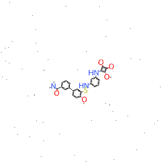 COc1ccc(-c2cccc(C(=O)N(C)C)c2)cc1SNc1cccc(Nc2c(OC)c(=O)c2=O)c1